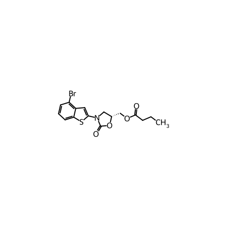 CCCC(=O)OC[C@H]1CN(c2cc3c(Br)cccc3s2)C(=O)O1